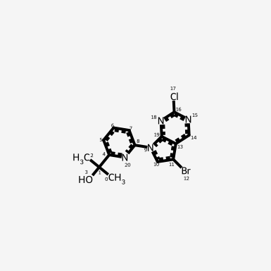 CC(C)(O)c1cccc(-n2cc(Br)c3cnc(Cl)nc32)n1